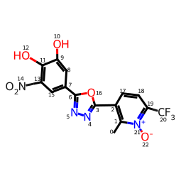 Cc1c(-c2nnc(-c3cc(O)c(O)c([N+](=O)[O-])c3)o2)ccc(C(F)(F)F)[n+]1[O-]